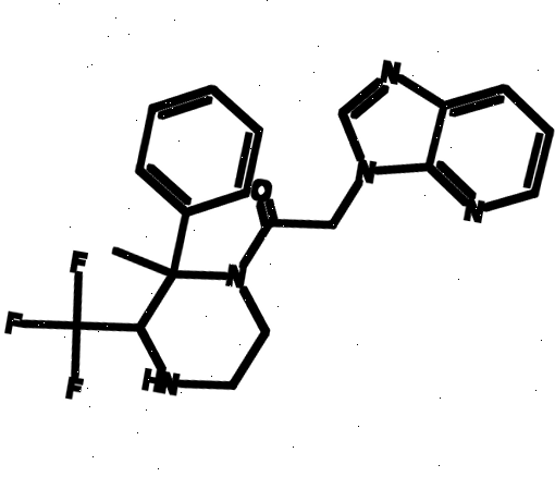 CC1(c2ccccc2)C(C(F)(F)F)NCCN1C(=O)Cn1cnc2cccnc21